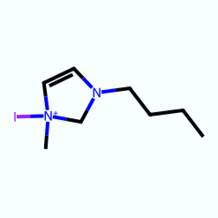 CCCCN1C=C[N+](C)(I)C1